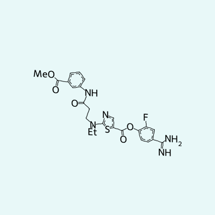 CCN(CCC(=O)Nc1cccc(C(=O)OC)c1)c1ncc(C(=O)Oc2ccc(C(=N)N)cc2F)s1